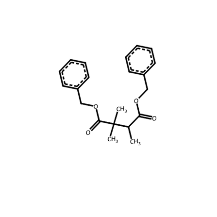 CC(C(=O)OCc1ccccc1)C(C)(C)C(=O)OCc1ccccc1